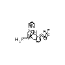 CCCN1C[C@H](Cn2cccn2)O[C@H]2Cc3c(cccc3OC(=O)C(F)(F)F)C[C@@H]21